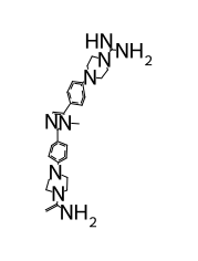 C=C(N)N1CCN(c2ccc(-c3ncc(-c4ccc(N5CCN(C(=N)N)CC5)cc4)n3C)cc2)CC1